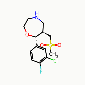 CS(=O)(=O)C[C@@H]1CNCCO[C@H]1c1ccc(F)c(Cl)c1